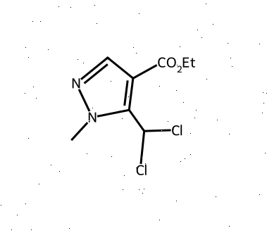 CCOC(=O)c1cnn(C)c1C(Cl)Cl